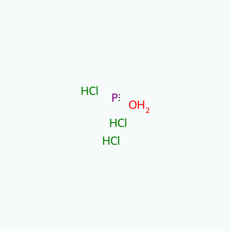 Cl.Cl.Cl.O.[P]